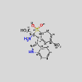 N[C@@](Cc1c[nH]c2ccccc12)(C(=O)O)[S](=O)(=O)[In]1[CH]=CC([N+](=O)[O-])=C[CH2]1